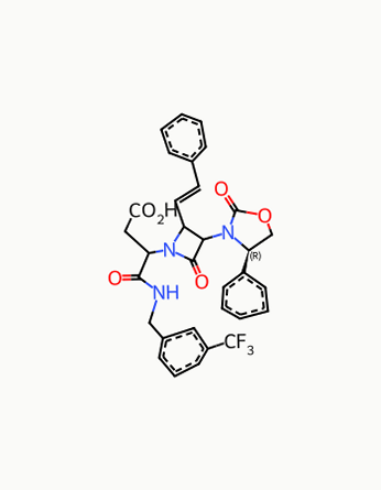 O=C(O)CC(C(=O)NCc1cccc(C(F)(F)F)c1)N1C(=O)C(N2C(=O)OC[C@H]2c2ccccc2)C1C=Cc1ccccc1